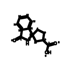 O=C1NC2(CCC(C(=O)O)C2)c2ccccc21